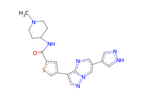 CN1CCC(NC(=O)c2cc(-c3cnn4cc(-c5cn[nH]c5)cnc34)cs2)CC1